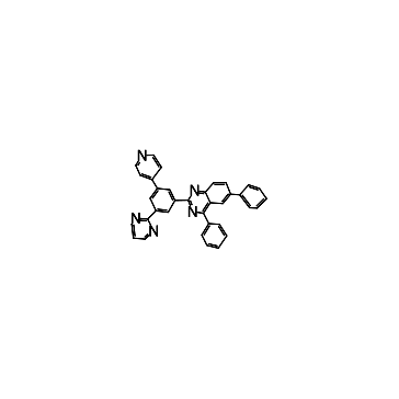 c1ccc(-c2ccc3nc(-c4cc(-c5ccncc5)cc(-c5ncccn5)c4)nc(-c4ccccc4)c3c2)cc1